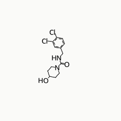 O=C(NCc1ccc(Cl)c(Cl)c1)N1CCC(O)CC1